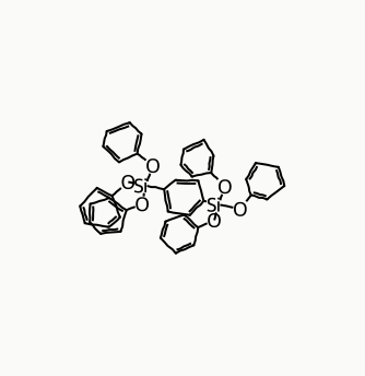 c1ccc(O[Si](Oc2ccccc2)(Oc2ccccc2)c2ccc([Si](Oc3ccccc3)(Oc3ccccc3)Oc3ccccc3)cc2)cc1